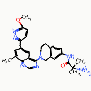 COc1ccc(-c2cc(C)c3ncnc(N4CCc5ccc(NC(=O)C(C)(C)N)cc5C4)c3c2)nn1